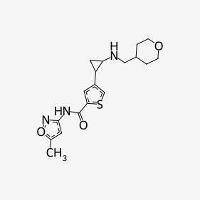 Cc1cc(NC(=O)c2cc(C3CC3NCC3CCOCC3)cs2)no1